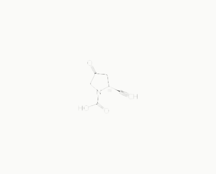 C#C[C@@H]1CC(=O)CN1C(=O)O